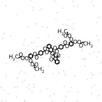 C=CC(=O)OCOc1ccc(OC(=O)C2CCC(C(=O)Oc3c4c(c(OC(=O)C5CCC(C(=O)Oc6ccc(OCOC(=O)C=C)c(OCOC(=O)C=C)c6)CC5)c5ccccc35)SC(=C3C(=O)c5ccccc5C3=O)S4)CC2)cc1OCOC(=O)C=C